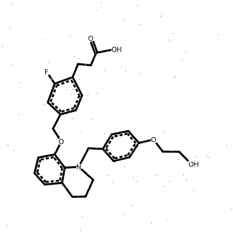 O=C(O)CCc1ccc(COc2cccc3c2N(Cc2ccc(OCCO)cc2)CCC3)cc1F